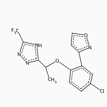 CC(Oc1ccc(Cl)cc1-c1ccon1)c1nnc(C(F)(F)F)[nH]1